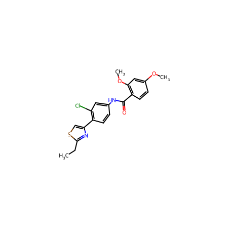 CCc1nc(-c2ccc(NC(=O)c3ccc(OC)cc3OC)cc2Cl)cs1